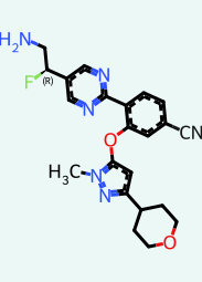 Cn1nc(C2CCOCC2)cc1Oc1cc(C#N)ccc1-c1ncc([C@@H](F)CN)cn1